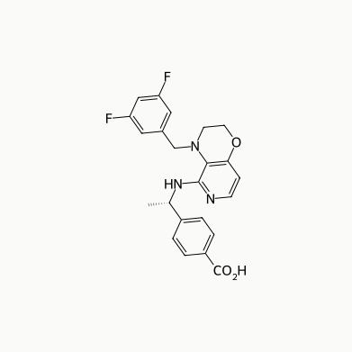 C[C@H](Nc1nccc2c1N(Cc1cc(F)cc(F)c1)CCO2)c1ccc(C(=O)O)cc1